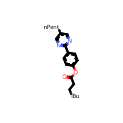 CCCCCc1cnc(-c2ccc(OC(=O)CCC(C)CC)cc2)nc1